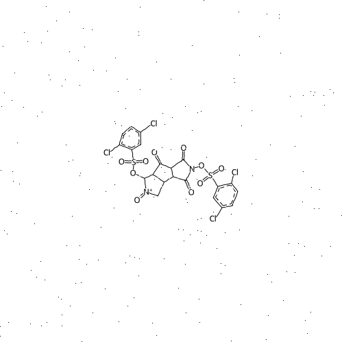 O=C1C2C(=O)N(OS(=O)(=O)c3cc(Cl)ccc3Cl)C(=O)C2C2C[N+](=O)C(OS(=O)(=O)c3cc(Cl)ccc3Cl)C12